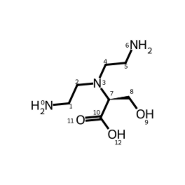 NCCN(CCN)[C@@H](CO)C(=O)O